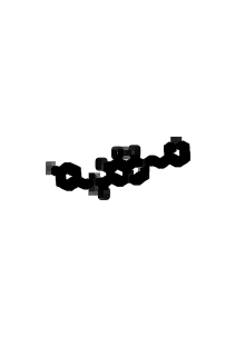 O=C(NCc1ccc(F)cc1)c1cn2ccn(CCc3cccnc3)c(=O)c2c(O)c1=O